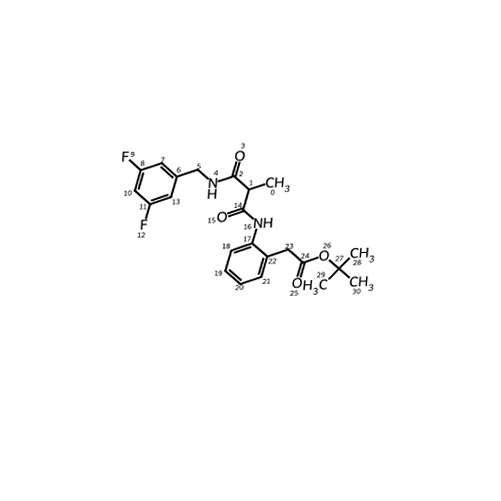 CC(C(=O)NCc1cc(F)cc(F)c1)C(=O)Nc1ccccc1CC(=O)OC(C)(C)C